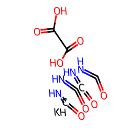 N=C=O.N=C=O.N=C=O.N=C=O.O=C(O)C(=O)O.[KH]